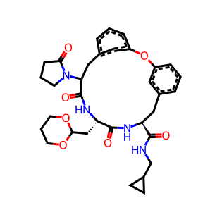 O=C1N[C@@H](CC2OCCCO2)C(=O)N[C@H](C(=O)NCC2CC2)Cc2cccc(c2)Oc2cccc(c2)CC1N1CCCC1=O